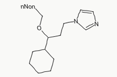 CCCCCCCCCCOC(CCn1ccnc1)C1CCCCC1